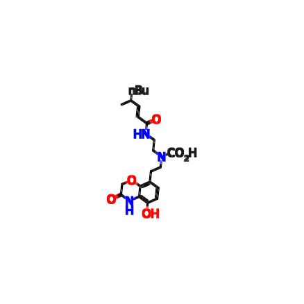 CCCCC(C)C=CC(=O)NCCN(CCc1ccc(O)c2c1OCC(=O)N2)C(=O)O